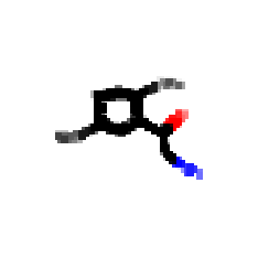 COc1ccc(OC)c(C(=O)CN)c1